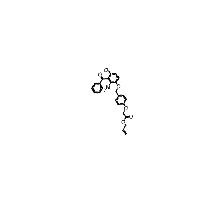 C=CCOC(=O)COc1ccc(COc2ccc(Cl)c(C(=O)c3ccccc3)c2N)cc1